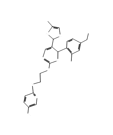 CC1=CNC(C2=CN=C(NCCNc3ccc(C#N)cn3)NC2c2ccc(CI)cc2C)N1